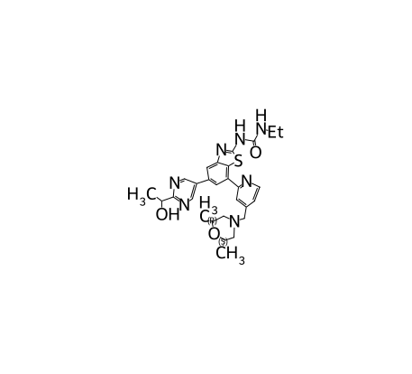 CCNC(=O)Nc1nc2cc(-c3cnc(C(C)O)nc3)cc(-c3cc(CN4C[C@@H](C)O[C@@H](C)C4)ccn3)c2s1